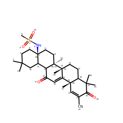 CC1(C)CC[C@]2(NS(C)(=O)=O)CC[C@]3(C)C(C(=O)C=C4[C@@]5(C)C=C(C#N)C(=O)C(C)(C)C5CC[C@]43C)C2C1